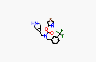 O=C(Oc1cscn1)N(Cc1cccc(C(F)(F)F)c1)CC1C2CNCC21